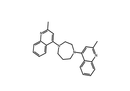 Cc1cc(N2CCCN(c3cc(C)nc4ccccc34)CC2)c2ccccc2n1